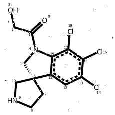 O=C(CO)N1C[C@@]2(CCNC2)c2cc(Cl)c(Cl)c(Cl)c21